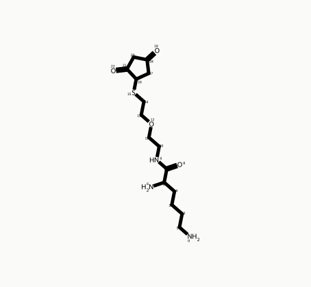 NCCCCC(N)C(=O)NCCOCCSC1CC(=O)CC1=O